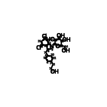 OCCc1ccc(Cc2cn([C@@H]3O[C@H](CO)[C@@H](O)[C@H](O)[C@H]3O)c3cc(Cl)cc(Cl)c23)cc1